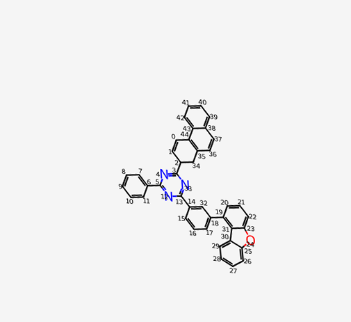 C1=CC(c2nc(-c3ccccc3)nc(-c3cccc(-c4cccc5oc6ccccc6c45)c3)n2)Cc2ccc3ccccc3c21